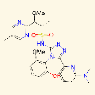 COc1cccc(O)c1-n1c(NS(=O)(=O)[C@@H](C)[C@H](OC)c2ncc(C)cn2)nnc1C1=C=C=CC(N(C)C)=N1